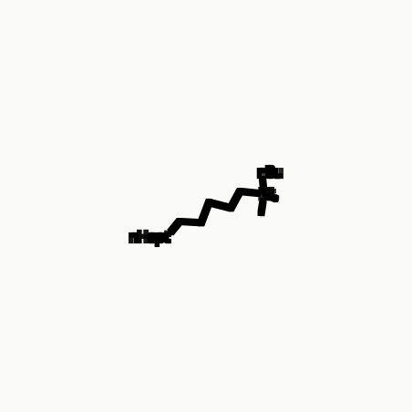 CCCCCCCCCCCC[N+](C)(C)CCCC